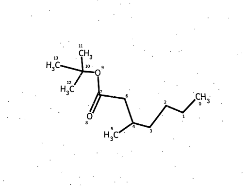 CCCCC(C)CC(=O)OC(C)(C)C